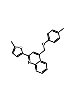 Cc1ccc(OCc2cc(-c3ccc(C)o3)nc3ccccc23)cc1